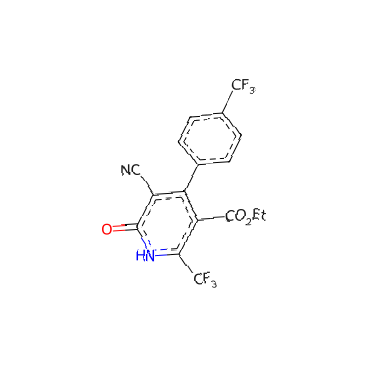 CCOC(=O)c1c(C(F)(F)F)[nH]c(=O)c(C#N)c1-c1ccc(C(F)(F)F)cc1